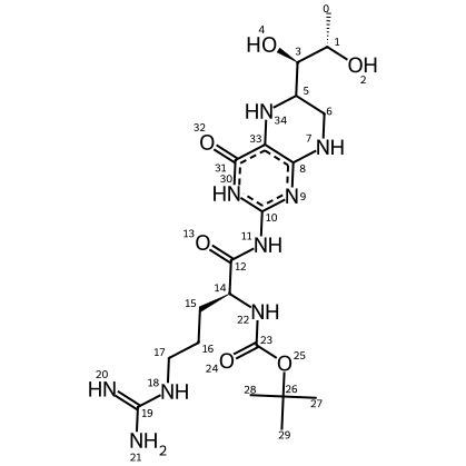 C[C@H](O)[C@H](O)C1CNc2nc(NC(=O)[C@H](CCCNC(=N)N)NC(=O)OC(C)(C)C)[nH]c(=O)c2N1